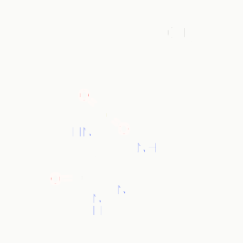 Cc1ccc(S(=O)(=O)Nc2c(N)[nH][nH]c2=O)cc1